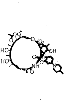 CO[C@H]1/C=C/O[C@@]2(C)Oc3c(C)c(O)c4c(=O)c(c5oc6cc(N7CCC(C)CC7)ccc6nc-5c4c3C2=O)NC(=O)/C(C)=C\C=C\[C@H](C)[C@H](O)[C@@H](C)[C@@H](O)[C@@H](C)[C@H](OC(C)=O)[C@@H]1C